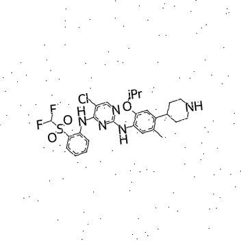 Cc1cc(Nc2ncc(Cl)c(Nc3ccccc3S(=O)(=O)C(F)F)n2)c(OC(C)C)cc1C1CCNCC1